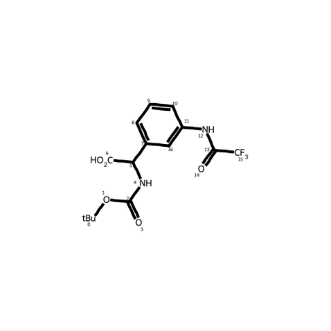 CC(C)(C)OC(=O)NC(C(=O)O)c1cccc(NC(=O)C(F)(F)F)c1